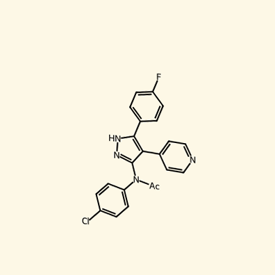 CC(=O)N(c1ccc(Cl)cc1)c1n[nH]c(-c2ccc(F)cc2)c1-c1ccncc1